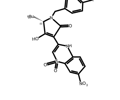 CC(C)(C)[C@H]1C(O)=C(C2=CS(=O)(=O)c3cc([N+](=O)[O-])ccc3N2)C(=O)N1Cc1ccc(F)cc1